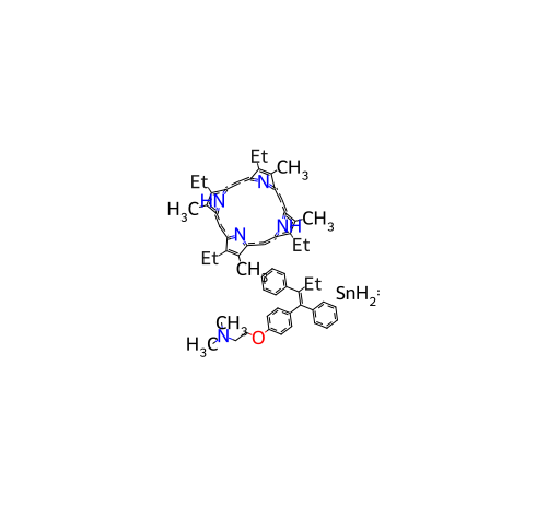 CC/C(=C(\c1ccccc1)c1ccc(OCCN(C)C)cc1)c1ccccc1.CCC1=C(C)c2cc3[nH]c(cc4nc(cc5[nH]c(cc1n2)c(C)c5CC)C(CC)=C4C)c(C)c3CC.[SnH2]